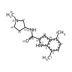 Cc1ccc(C)c2[nH]c(C(=O)NC3CCN(C)C3)cc12